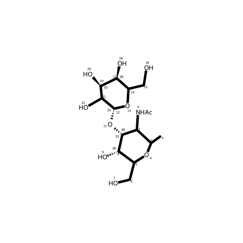 CC(=O)NC1C(C)OC(CO)[C@H](O)[C@@H]1O[C@H]1OC(CO)[C@H](O)[C@H](O)C1O